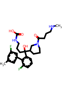 CNCCCC(=O)N1CCCC(C(O)(CCCNC(=O)O)c2cccc(F)c2-c2cc(C)cc(F)c2)C1